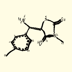 Cc1ccc(C(N)=C2SC(=S)N(C)C2=O)cc1